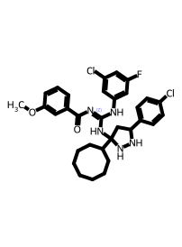 COc1cccc(C(=O)/N=C(/Nc2cc(F)cc(Cl)c2)NC2(C3CCCCCCC3)CC(c3ccc(Cl)cc3)NN2)c1